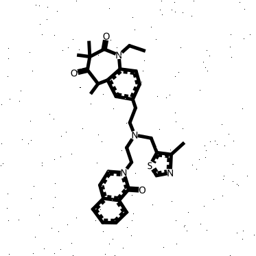 CCN1C(=O)C(C)(C)C(=O)C(C)c2cc(CCN(CCn3ccc4ccccc4c3=O)Cc3scnc3C)ccc21